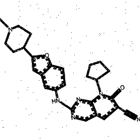 CN1CCC(c2cc3cc(Nc4ncc5cc(C#N)c(=O)n(C6CCCC6)c5n4)ccc3o2)CC1